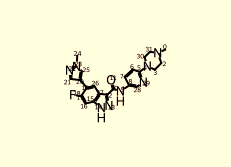 CN1CCN(c2ccc(NC(=O)c3n[nH]c4cc(F)c(-c5cnn(C)c5)cc34)cn2)CC1